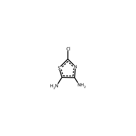 Nc1nc(Cl)sc1N